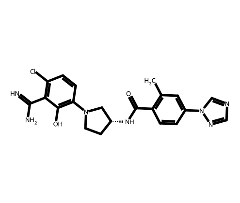 Cc1cc(-n2cncn2)ccc1C(=O)N[C@@H]1CCN(c2ccc(Cl)c(C(=N)N)c2O)C1